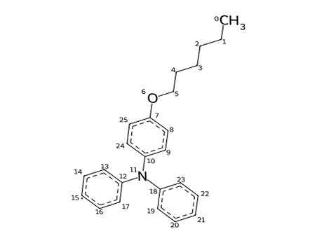 CCCCCCOc1ccc(N(c2cc[c]cc2)c2ccccc2)cc1